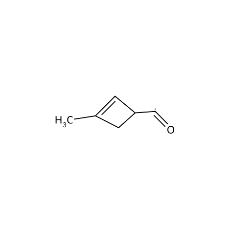 CC1=CC([C]=O)C1